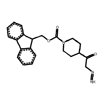 N=NCC(=O)C1CCN(C(=O)OCC2c3ccccc3-c3ccccc32)CC1